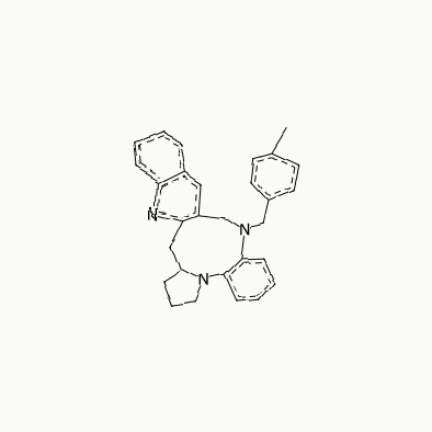 Cc1ccc(CN2Cc3cc4ccccc4nc3CC3CCCN3c3ccccc32)cc1